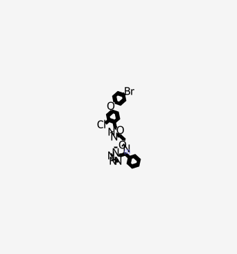 Cn1nnnc1/C(=N\OCc1nnc(-c2ccc(Oc3ccc(Br)cc3)cc2Cl)o1)c1ccccc1